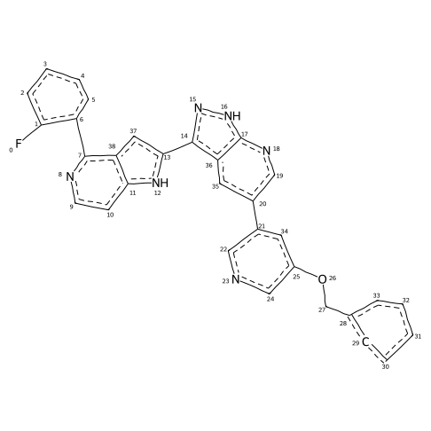 Fc1ccccc1-c1nccc2[nH]c(-c3n[nH]c4ncc(-c5cncc(OCc6ccccc6)c5)cc34)cc12